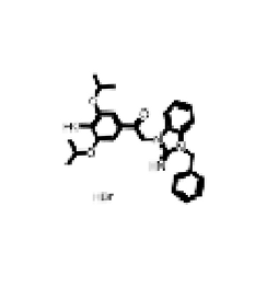 Br.CC(C)Oc1cc(C(=O)Cn2c(=N)n(Cc3ccccc3)c3ccccc32)cc(OC(C)C)c1O